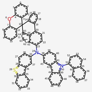 c1ccc2c(c1)Oc1ccccc1C21c2ccccc2-c2ccc(N(c3ccc4sc5ccccc5c4c3)c3ccc4c(c3)c3ccccc3n4-c3cccc4ccccc34)c3cccc1c23